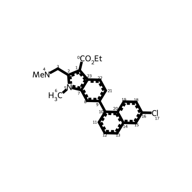 CCOC(=O)c1c(CNC)n(C)c2cc(-c3cccc4cc(Cl)ccc34)ccc12